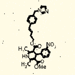 COC(=O)C1=C(C)NC(C)=C(C(=O)OCCC=Cc2ccc(Cn3ccnc3)cc2)C1c1cccc([N+](=O)[O-])c1